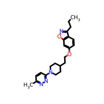 CCCc1noc2cc(OCCC3CCN(c4ccc(C)nn4)CC3)ccc12